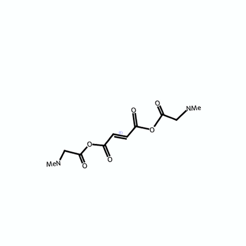 CNCC(=O)OC(=O)/C=C/C(=O)OC(=O)CNC